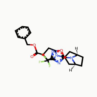 O=C(OCc1ccccc1)C1CCN(C2C[C@H]3CC[C@@H](C2)N3c2nc(C(F)(F)F)no2)CC1